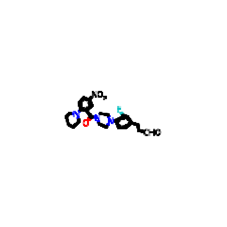 O=CCCc1ccc(N2CCN(C(=O)c3cc([N+](=O)[O-])ccc3N3CCCCC3)CC2)c(F)c1